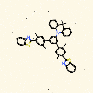 Cc1cc(-c2nc3ccccc3s2)c(C)cc1-c1cc(-c2cc(C)c(-c3nc4ccccc4s3)cc2C)cc(N2c3ccccc3C(C)(C)c3ccccc32)c1